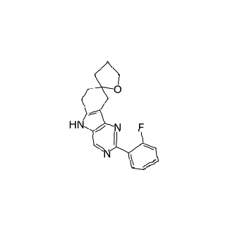 Fc1ccccc1-c1ncc2[nH]c3c(c2n1)CC1(CCCO1)CC3